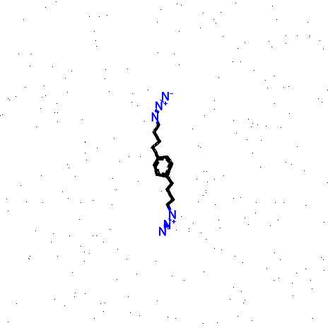 [N-]=[N+]=NCCCCc1ccc(CCCCN=[N+]=[N-])cc1